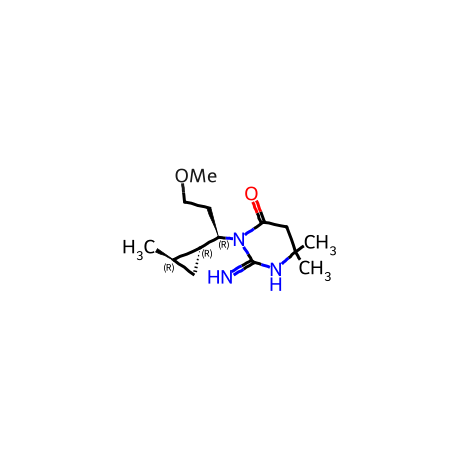 COCC[C@H]([C@@H]1C[C@H]1C)N1C(=N)NC(C)(C)CC1=O